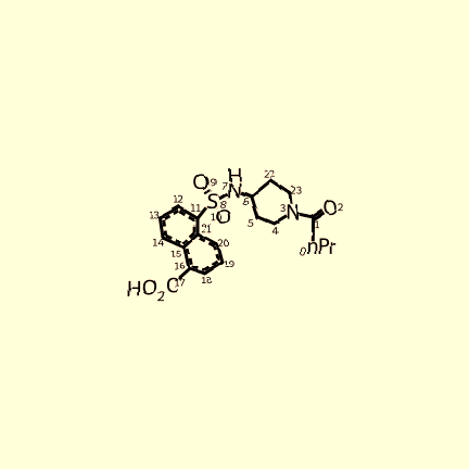 CCCC(=O)N1CCC(NS(=O)(=O)c2cccc3c(C(=O)O)cccc23)CC1